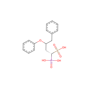 O=P(O)(O)[C@H](CC(Cc1ccccc1)Oc1ccccc1)S(=O)(=O)O